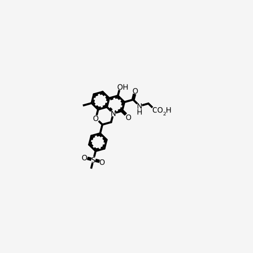 Cc1ccc2c(O)c(C(=O)NCC(=O)O)c(=O)n3c2c1OC(c1ccc(S(C)(=O)=O)cc1)C3